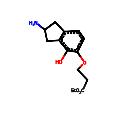 CCOC(=O)CCOc1ccc2c(c1O)CC(N)C2